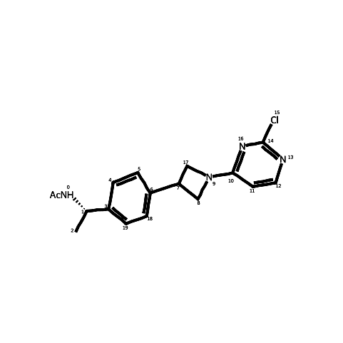 CC(=O)N[C@@H](C)c1ccc(C2CN(c3ccnc(Cl)n3)C2)cc1